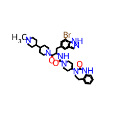 CN1CCC(C2CCN(C(=O)C(Cc3cc(Br)c4[nH]ncc4c3)NC(=O)N3CCC(N4CCc5ccccc5NC4=O)CC3)CC2)CC1